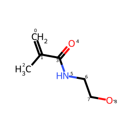 C=C(C)C(=O)NCC[O]